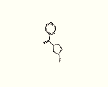 C=C(c1ccccc1)C1CCC(F)C1